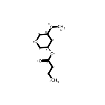 CCCC(=O)O[C@@H]1COCC(OC)C1